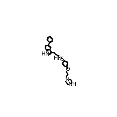 c1ccc(-c2ccc3[nH]cc(CCCNSc4ccc(OCCCN5CCNCC5)cc4)c3c2)cc1